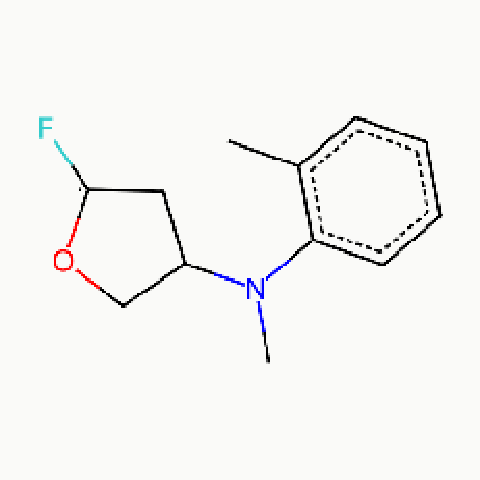 Cc1ccccc1N(C)C1CO[C](F)C1